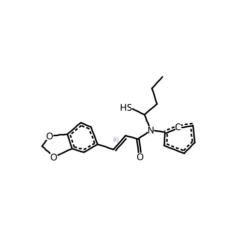 CCCC(S)N(C(=O)/C=C/c1ccc2c(c1)OCO2)c1ccccc1